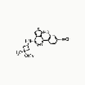 C#Cc1ccc(-c2nnc(NC3CC(C)(OC)C3)c3cscc23)c(O)c1